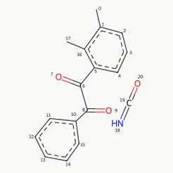 Cc1cccc(C(=O)C(=O)c2ccccc2)c1C.N=C=O